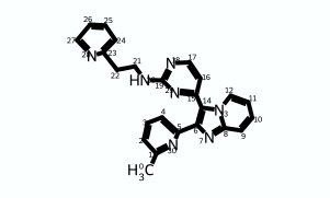 Cc1cccc(-c2nc3ccccn3c2-c2ccnc(NCCc3ccccn3)n2)n1